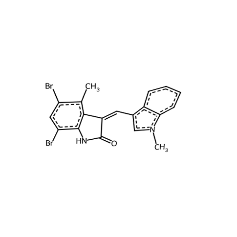 Cc1c(Br)cc(Br)c2c1C(=Cc1cn(C)c3ccccc13)C(=O)N2